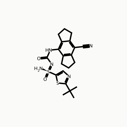 CC(C)(C)c1ncc([S@](N)(=O)=NC(=O)Nc2c3c(c(C#N)c4c2CCC4)CCC3)s1